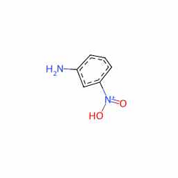 Nc1cccc([N+](=O)O)c1